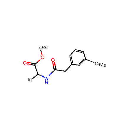 CCCCOC(=O)C(CC)NC(=O)Cc1cccc(OC)c1